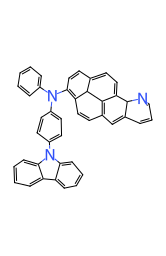 C1=CC2=CC3=C4C(=CC=C5C=CC(N(c6ccccc6)c6ccc(-n7c8ccccc8c8ccccc87)cc6)=C(C=C3)C54)C2N=C1